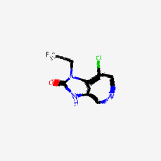 O=c1[nH]c2cncc(Cl)c2n1CC(F)(F)F